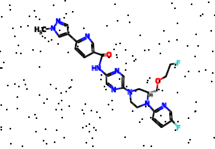 Cn1cc(-c2ccc(C(=O)Nc3cnc(N4CCN(c5ccc(F)cn5)[C@@H](COCCF)C4)cn3)cn2)cn1